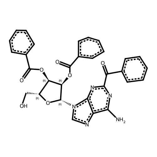 Nc1nc(C(=O)c2ccccc2)nc2c1ncn2[C@@H]1O[C@H](CO)[C@@H](OC(=O)c2ccccc2)[C@H]1OC(=O)c1ccccc1